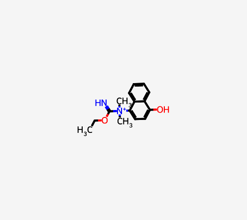 CCOC(=N)[N+](C)(C)c1ccc(O)c2ccccc12